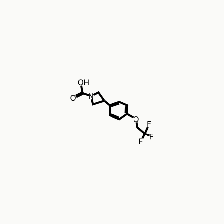 O=C(O)N1CC(c2ccc(OCC(F)(F)F)cc2)C1